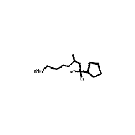 CCCCCCCCCCCCCC(C)CC(O)(CC)C1CCCC1